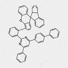 C1=CC2c3ccccc3C3(c4ccccc4Oc4c(-c5ccccc5-c5nc(-c6ccccc6)cc(-c6ccc(-c7ccccc7)cc6)n5)cccc43)C2C=C1